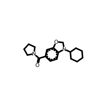 O=C(c1ccc2c(c1)OCN2C1CCCCC1)N1CCCC1